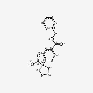 O=C(OCc1ccccc1)c1ccc(C2(C(=O)O)CCCC2)cc1